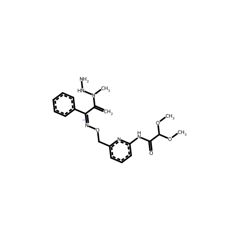 C=C(/C(=N\OCc1cccc(NC(=O)C(OC)OC)n1)c1ccccc1)N(C)NN